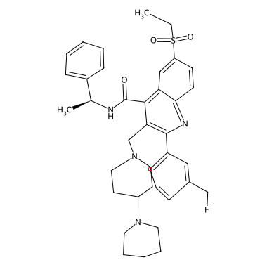 CCS(=O)(=O)c1ccc2nc(-c3cccc(CF)c3)c(CN3CCC(N4CCCCC4)CC3)c(C(=O)N[C@@H](C)c3ccccc3)c2c1